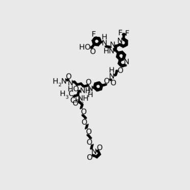 CC(C)[C@H](NC(=O)CCOCCOCCOCCOCCN1C(=O)C=CC1=O)C(=O)NC(CCCNC(N)=O)C(=O)Nc1ccc(COC(=O)NCCOc2cnc3ccc(-c4[nH]c(CNc5cc(F)cc(C(=O)O)c5)nc4-c4cccc(C(F)F)n4)cc3c2)cc1